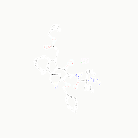 CCOC(=O)CC1c2ccccc2C2(CCNCC2)C1C(=O)[C@@H](COCc1ccccc1)NC(=O)C(C)(C)N.Cl